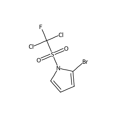 O=S(=O)(n1cccc1Br)C(F)(Cl)Cl